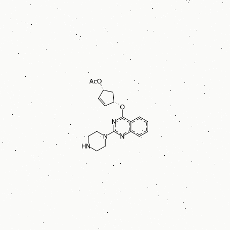 CC(=O)O[C@H]1C=C[C@@H](Oc2nc(N3CCNCC3)nc3ccccc23)C1